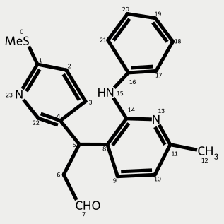 CSc1ccc(C(CC=O)c2ccc(C)nc2Nc2ccccc2)cn1